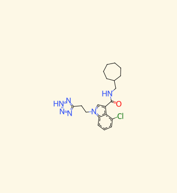 O=C(NCC1CCCCCC1)c1cn(CCc2nn[nH]n2)c2cccc(Cl)c12